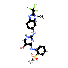 Cn1c(C(F)(F)F)nc2ccc(Nc3ncc(Br)c(Nc4ccccc4S(C)(=O)=O)n3)cc21